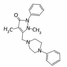 Cc1c(CN2CCN(c3ccccc3)CC2)n(C)n(-c2ccccc2)c1=O